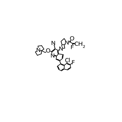 C=C(F)C(=O)N1CCC2C1CN2c1c(C#N)c(OCC23CCCN2CCC3)nc2cc(-c3cccc4ccc(F)c(Cl)c34)ccc12